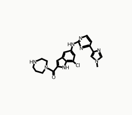 Cn1cnc(-c2ccnc(Nc3cc(Cl)c4[nH]c(C(=O)N5CCCNCC5)cc4c3)n2)c1